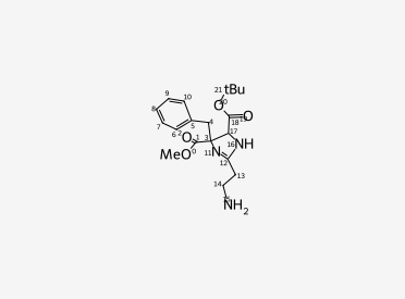 COC(=O)C1(Cc2ccccc2)N=C(CCN)NC1C(=O)OC(C)(C)C